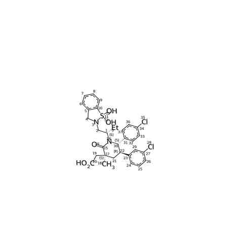 CC[C@@H](CN1Cc2ccccc2S1(O)O)N1C(=O)[C@](C)(CC(=O)O)C[C@H](c2cccc(Cl)c2)[C@H]1c1ccc(Cl)cc1